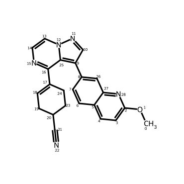 COc1ccc2ccc(-c3cnn4ccnc(C5=CCC(C#N)CC5)c34)cc2n1